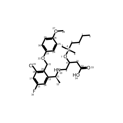 CCCC[Si](C)(C)OC(CN[C@@H](C)c1cc(F)cc(Cl)c1COc1ccc(OC)cc1)CC(=O)O